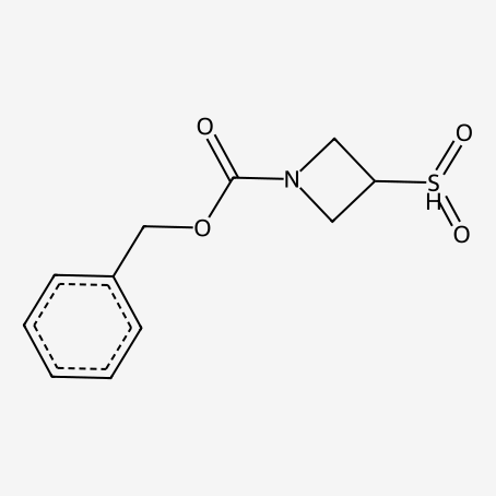 O=C(OCc1ccccc1)N1CC([SH](=O)=O)C1